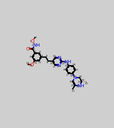 CONC(=O)c1cc(CCc2cnc(Nc3ccc(N4C=C(C)N[C@@H](C)C4)cc3)nc2)cc(OC)c1